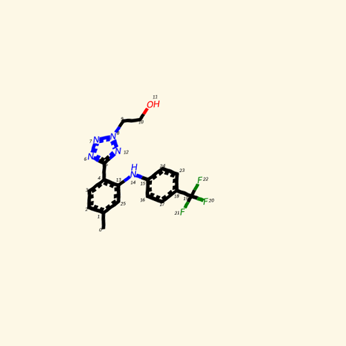 Cc1ccc(-c2nnn(CCO)n2)c(Nc2ccc(C(F)(F)F)cc2)c1